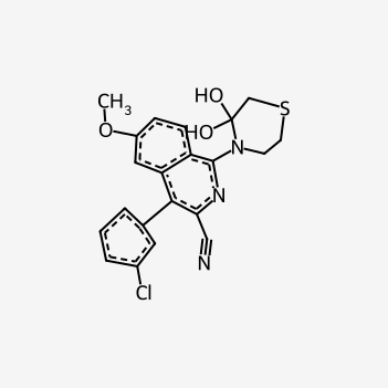 COc1ccc2c(N3CCSCC3(O)O)nc(C#N)c(-c3cccc(Cl)c3)c2c1